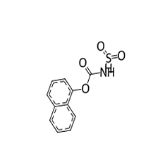 O=C(N[SH](=O)=O)Oc1cccc2ccccc12